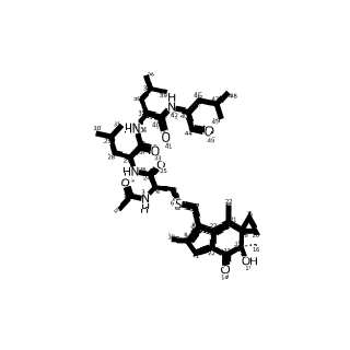 CC(=O)NC(CSCC1=C(C)C=C2C(=O)[C@](C)(O)C3(CC3)C(C)=C21)C(=O)NC(CC(C)C)C(=O)NC(CC(C)C)C(=O)NC(C=O)CC(C)C